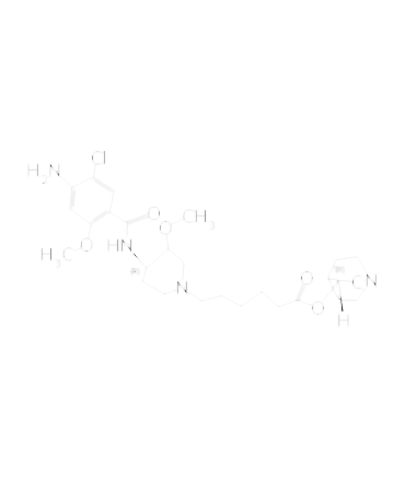 COc1cc(N)c(Cl)cc1C(=O)N[C@@H]1CCN(CCCCCC(=O)O[C@H]2CN3CCC2CC3)CC1OC